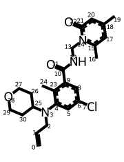 C=CCN(c1cc(Cl)cc(C(=O)NCn2c(C)cc(C)cc2=O)c1C)C1CCOCC1